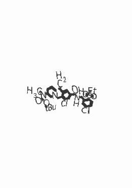 C=Cc1cc(C(O)NCc2cc(Cl)ccc2S(=O)(=O)CC)cc(Cl)c1CN1CCCC(N(C)C(=O)OC(C)(C)C)C1